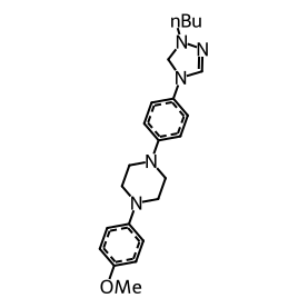 CCCCN1CN(c2ccc(N3CCN(c4ccc(OC)cc4)CC3)cc2)C=N1